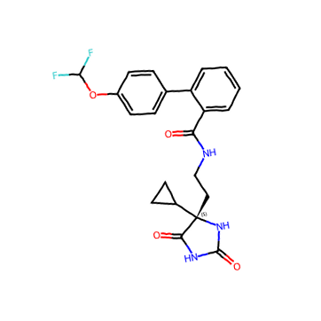 O=C1NC(=O)[C@](CCNC(=O)c2ccccc2-c2ccc(OC(F)F)cc2)(C2CC2)N1